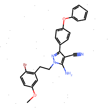 COc1ccc(Br)c(CCn2nc(-c3ccc(Oc4ccccc4)cc3)c(C#N)c2N)c1